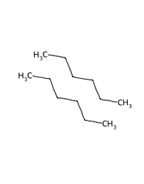 CCCCCC.CCCCCC